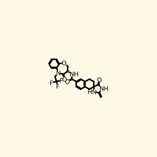 C=C1NC(=O)C2(CCc3cc(C(=O)N[C@@H]4COc5ccccc5N(CC(F)(F)F)C4=O)ccc3C2)N1